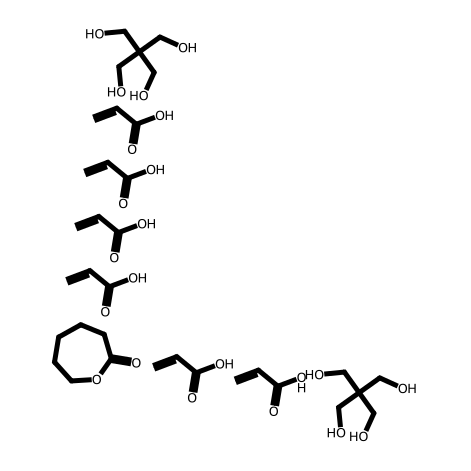 C=CC(=O)O.C=CC(=O)O.C=CC(=O)O.C=CC(=O)O.C=CC(=O)O.C=CC(=O)O.O=C1CCCCCO1.OCC(CO)(CO)CO.OCC(CO)(CO)CO